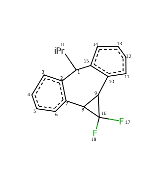 CC(C)C1c2ccccc2C2C(c3ccccc31)C2(F)F